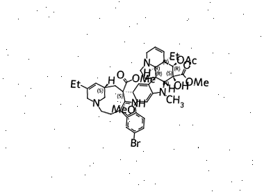 CCC1=C[C@H]2CN(CCc3c([nH]c4ccc(Br)cc34)[C@@](C(=O)OC)(C3C=C4C(=CC3OC)N(C)[C@H]3[C@@](O)(C(=O)OC)[C@H](OC(C)=O)[C@]5(CC)C=CCN6CC[C@]43[C@@H]65)C2)C1